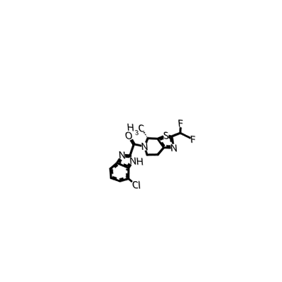 C[C@@H]1c2sc(C(F)F)nc2CCN1C(=O)c1nc2cccc(Cl)c2[nH]1